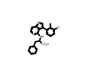 Cc1c(Cl)cccc1-c1csc2ccnc(NC(Cc3ccccc3)C(=O)O)c12